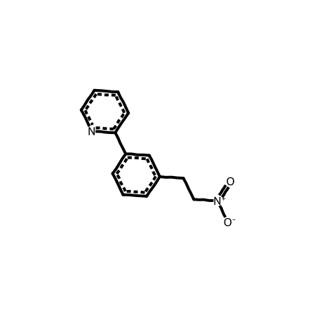 O=[N+]([O-])CCc1cccc(-c2ccccn2)c1